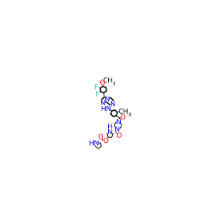 COc1ccc(-c2cnc3c(Nc4ccc(C(=O)N5CCN(C(=O)[C@@H]6C[C@@H](OC(=O)[C@@H]7CCCN7)CN6)CC5)c(C)c4)nccn23)c(F)c1F